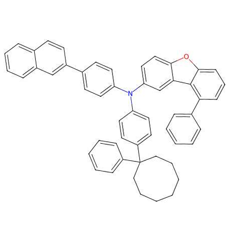 c1ccc(-c2cccc3oc4ccc(N(c5ccc(-c6ccc7ccccc7c6)cc5)c5ccc(C6(c7ccccc7)CCCCCCC6)cc5)cc4c23)cc1